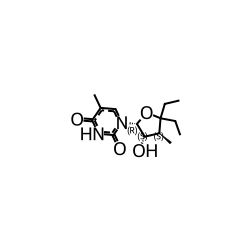 CCC1(CC)O[C@@H](n2cc(C)c(=O)[nH]c2=O)[C@@H](O)[C@@H]1C